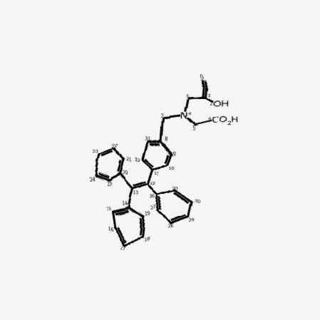 C=C(O)CN(CC(=O)O)Cc1ccc(C(=C(c2ccccc2)c2ccccc2)c2ccccc2)cc1